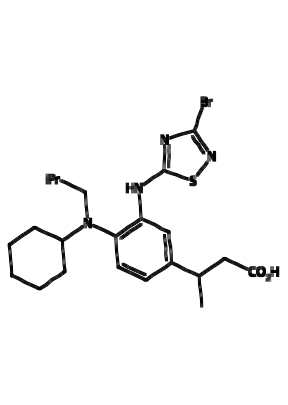 CC(C)CN(c1ccc(C(C)CC(=O)O)cc1Nc1nc(Br)ns1)C1CCCCC1